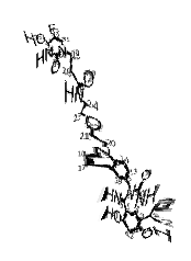 CC(C)c1cc(C(=N)N(C(N)=O)c2ccc3c(ccn3CCOCCNC(=O)CCN3C=C(F)C(O)NC3=O)c2)c(O)cc1O